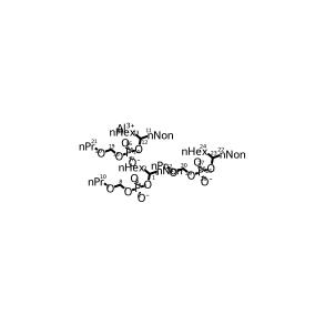 CCCCCCCCCC(CCCCCC)OP(=O)([O-])OCOCCC.CCCCCCCCCC(CCCCCC)OP(=O)([O-])OCOCCC.CCCCCCCCCC(CCCCCC)OP(=O)([O-])OCOCCC.[Al+3]